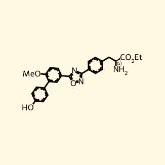 CCOC(=O)[C@@H](N)Cc1ccc(-c2noc(-c3ccc(OC)c(-c4ccc(O)cc4)c3)n2)cc1